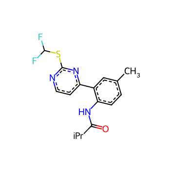 Cc1ccc(NC(=O)C(C)C)c(-c2ccnc(SC(F)F)n2)c1